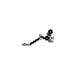 CCCCCCCCCCCCCCCCCCOC(=O)CCc1cc(-n2nc3ccccc3n2)c(O)c(C(C)(C)C)c1